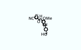 COc1cc2nn([C@H]3CC[C@H](CO)CC3)cc2cc1NC(=O)c1cncc(C#N)c1